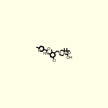 Cc1ccc(C(=O)Nc2cc(Cl)cc(CN3CCN(C(=O)O)C(C)(C(C)(C)C)C3)c2C)cn1